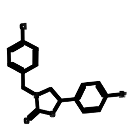 O=C1OC(c2ccc(Br)cc2)CN1Cc1ccc(Cl)cc1